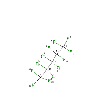 FC(F)(F)C(F)(F)C(Cl)(Cl)C(Cl)(Cl)C(F)(F)F